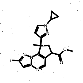 COC(=O)C1CC(C)(c2ccn(C3CC3)n2)c2c1cnc1cc(F)nn21